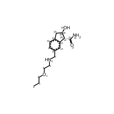 CCCOCCNCc1ccc2c(c1)[C@@H](C(N)=O)[C@H](O)C2